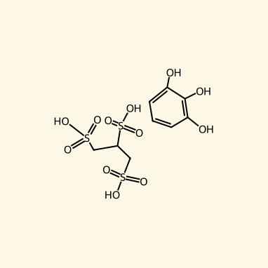 O=S(=O)(O)CC(CS(=O)(=O)O)S(=O)(=O)O.Oc1cccc(O)c1O